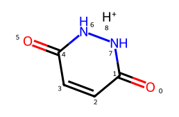 O=c1ccc(=O)[nH][nH]1.[H+]